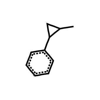 CC1CC1c1cc[c]cc1